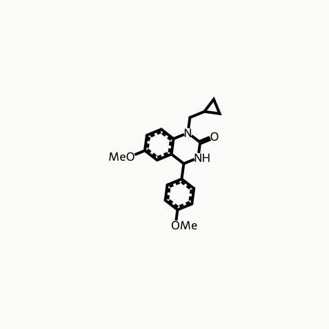 COc1ccc(C2NC(=O)N(CC3CC3)c3ccc(OC)cc32)cc1